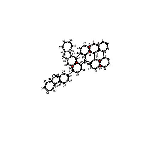 c1ccc(-c2cccc3cccc(-c4ccccc4N(c4ccc(-c5ccc6c(c5)oc5ccccc56)cc4)c4ccccc4-c4cccc5sc6ccccc6c45)c23)cc1